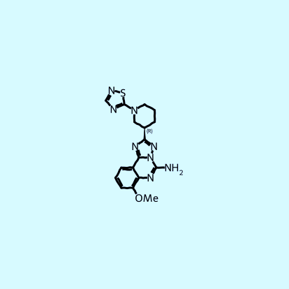 COc1cccc2c1nc(N)n1nc([C@@H]3CCCN(c4ncns4)C3)nc21